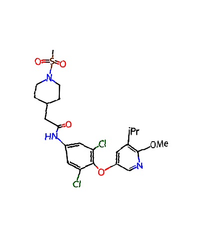 COc1ncc(Oc2c(Cl)cc(NC(=O)CC3CCN(S(C)(=O)=O)CC3)cc2Cl)cc1C(C)C